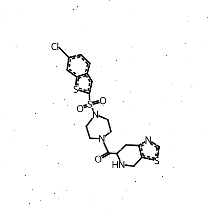 O=C(C1Cc2ncsc2CN1)N1CCN(S(=O)(=O)c2cc3ccc(Cl)cc3s2)CC1